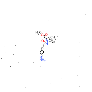 CCOC(=O)CC(CC(C)C)NC(=O)CCCCc1ccc(C=NN)cc1